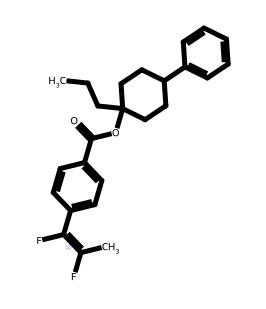 CCCC1(OC(=O)c2ccc(/C(F)=C(\C)F)cc2)CCC(c2ccccc2)CC1